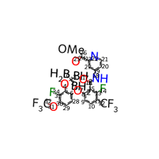 BC(B)(B)Oc1c(Oc2ccc(C(F)(F)F)c(F)c2C(=O)Nc2ccnc(C(=O)OC)c2)ccc(OC(F)(F)F)c1F